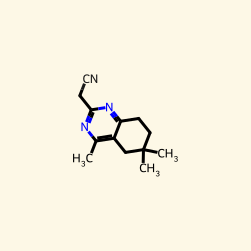 Cc1nc(CC#N)nc2c1CC(C)(C)CC2